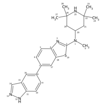 CN(c1nc2ccc(-c3ccc4[nH]ncc4c3)cc2s1)C1CC(C)(C)NC(C)(C)C1